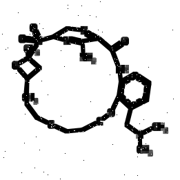 CN(C)Cc1cccc2c1OCCCCCCC1(C)CC(C)(O1)S(=O)(=O)C1CN=C(C(=O)N2)C(N)=N1